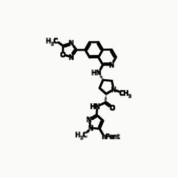 CCCCCc1cc(NC(=O)[C@@H]2C[C@H](Nc3nccc4ccc(-c5noc(C)n5)cc34)CN2C)nn1C